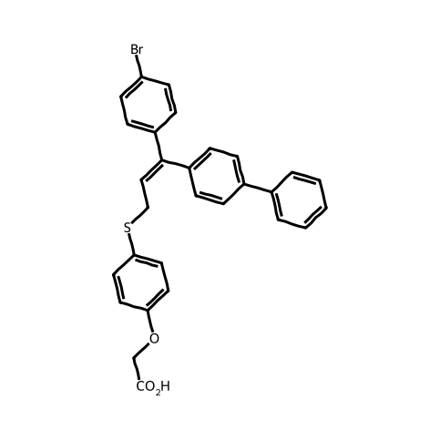 O=C(O)COc1ccc(SCC=C(c2ccc(Br)cc2)c2ccc(-c3ccccc3)cc2)cc1